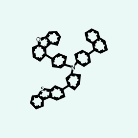 c1cc(-c2ccc3c(c2)sc2ccccc23)cc(N(c2ccc(-c3cccc4ccccc34)cc2)c2ccc(-c3cccc4oc5ccccc5c34)cc2)c1